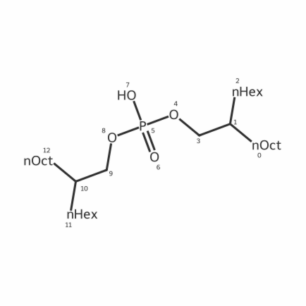 CCCCCCCCC(CCCCCC)COP(=O)(O)OCC(CCCCCC)CCCCCCCC